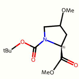 COC(=O)[C@@H]1CC(OC)CN1C(=O)OC(C)(C)C